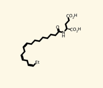 CC/C=C\C/C=C\C/C=C\CCCCCCCC(=O)N[C@@H](CCC(=O)O)C(=O)O